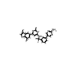 Cc1nc(NC(C)(I)c2cccc(-c3cnc(N)nc3)c2)cc(-c2cc(F)c3occ(C)c3c2)n1